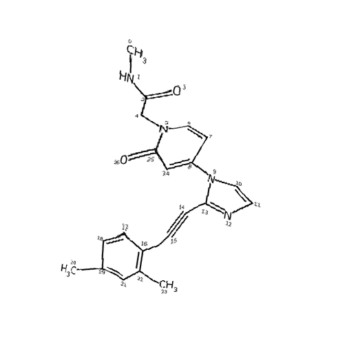 CNC(=O)Cn1ccc(-n2ccnc2C#Cc2ccc(C)cc2C)cc1=O